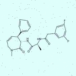 C[C@H](NC(=O)Cc1cc(F)cc(F)c1)C(=O)N[C@@H]1C(=O)N(C)CC=C[C@H]1c1ccccc1